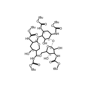 CC(C)(C)OC(=O)NCC1CO[C@H](OC2C(O)[C@@H](O[C@H]3OC(CO)[C@@H](O)C(NC(=O)OC(C)(C)C)C3O)C(NC(=O)OC(C)(C)C)C[C@@H]2NC(=O)OC(C)(C)C)C(NC(=O)OC(C)(C)C)C[C@@H]1O